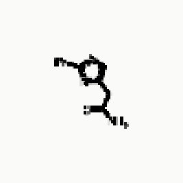 CC(C)c1nc(CC(N)=O)cs1